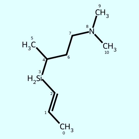 CC=C[SiH2]C(C)CCN(C)C